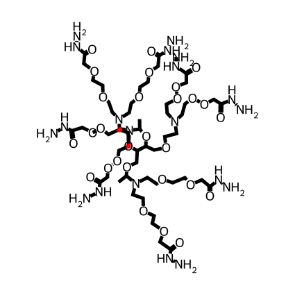 CC(OCC(OCCN(CCOCCOCC(=O)NN)CCOCCOCC(=O)NN)C(COCCN(CCOOCC(=O)NN)CCOOCC(=O)NN)OC(C)N(CCOOCC(=O)NN)CCOOCC(=O)NN)N(CCOCCOCC(=O)NN)CCOCCOCC(=O)NN